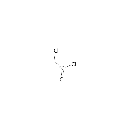 O=[13C](Cl)CCl